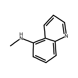 CNc1cccc2ncccc12